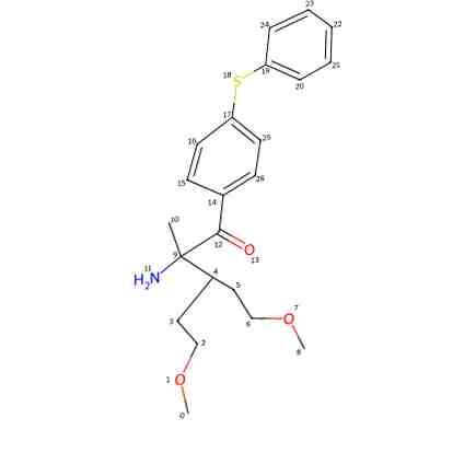 COCCC(CCOC)C(C)(N)C(=O)c1ccc(Sc2ccccc2)cc1